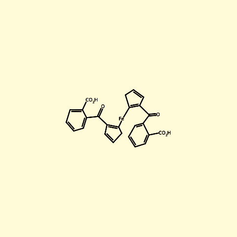 O=C(O)c1ccccc1C(=O)C1=[C]([Fe][C]2=C(C(=O)c3ccccc3C(=O)O)C=CC2)CC=C1